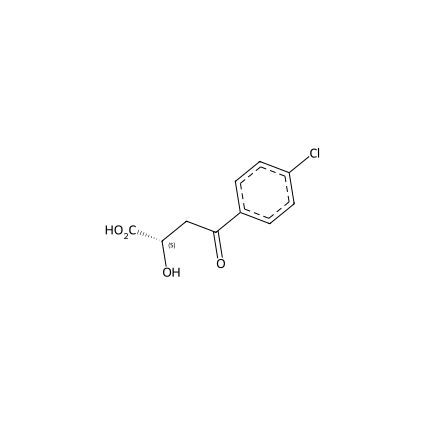 O=C(C[C@H](O)C(=O)O)c1ccc(Cl)cc1